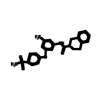 CS(=O)(=O)c1ccc(Oc2cc(NC(=O)N3CCc4ccccc4C3)cc(C(F)(F)F)c2)cc1